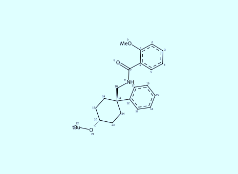 COc1ccccc1C(=O)NC[C@]1(c2ccccc2)CC[C@@H](OC(C)(C)C)CC1